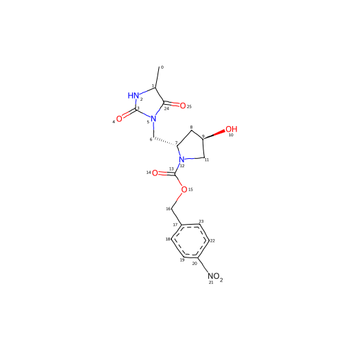 CC1NC(=O)N(C[C@@H]2C[C@@H](O)CN2C(=O)OCc2ccc([N+](=O)[O-])cc2)C1=O